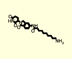 NCCCCCCCCCC(=O)Nc1ccc2c(c1)CN(C1CCC(=O)NC1=O)C2=O